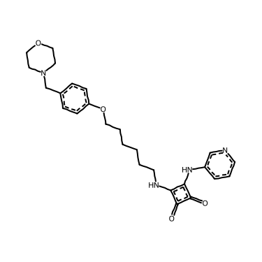 O=c1c(NCCCCCCOc2ccc(CN3CCOCC3)cc2)c(Nc2cccnc2)c1=O